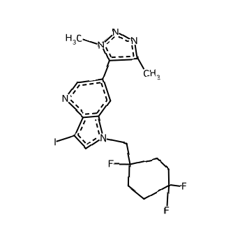 Cc1nnn(C)c1-c1cnc2c(I)cn(CC3(F)CCC(F)(F)CC3)c2c1